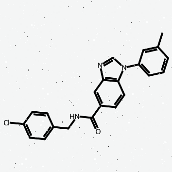 Cc1cccc(-n2cnc3cc(C(=O)NCc4ccc(Cl)cc4)ccc32)c1